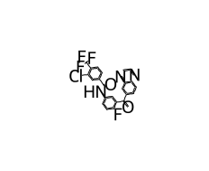 O=C(Nc1ccc(F)c(C(=O)c2ccc3nccnc3c2)c1)c1ccc(C(F)(F)F)c(Cl)c1